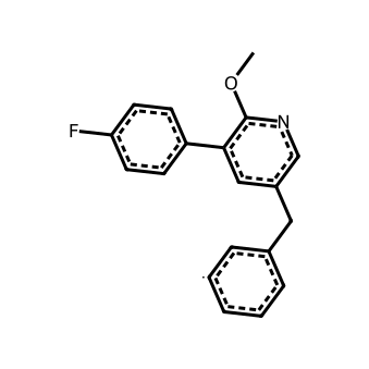 COc1ncc(Cc2c[c]ccc2)cc1-c1ccc(F)cc1